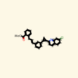 COC(=O)c1ccccc1CC=Cc1cccc(C2CC2c2ccc3ccc(Cl)cc3n2)c1